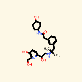 CC(C)(Cc1cccc(CC(=O)NC2CCC(O)CC2)c1)NCC(O)c1ccc(O)c(CO)n1